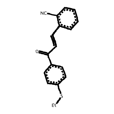 CCSc1ccc(C(=O)C=Cc2ccccc2C#N)cc1